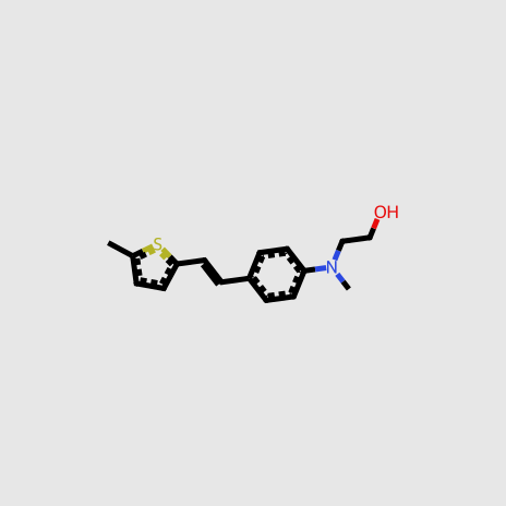 Cc1ccc(/C=C/c2ccc(N(C)CCO)cc2)s1